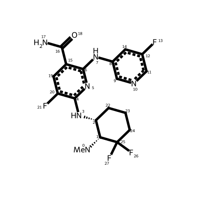 CN[C@@H]1[C@H](Nc2nc(Nc3cncc(F)c3)c(C(N)=O)cc2F)CCCC1(F)F